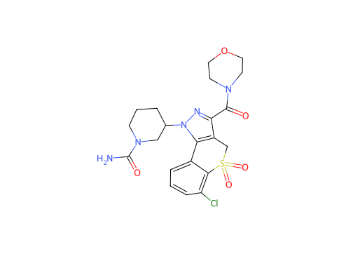 NC(=O)N1CCCC(n2nc(C(=O)N3CCOCC3)c3c2-c2cccc(Cl)c2S(=O)(=O)C3)C1